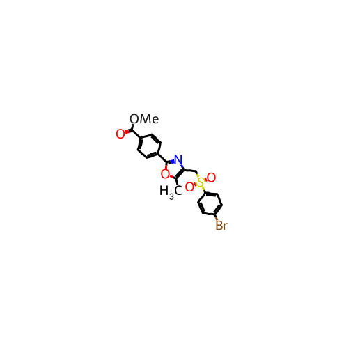 COC(=O)c1ccc(-c2nc(CS(=O)(=O)c3ccc(Br)cc3)c(C)o2)cc1